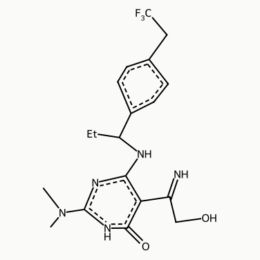 CCC(Nc1nc(N(C)C)[nH]c(=O)c1C(=N)CO)c1ccc(CC(F)(F)F)cc1